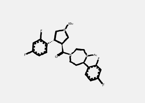 CC(=O)N1CCN(C(=O)[C@@H]2CN(C(C)(C)C)C[C@H]2c2ccc(F)cc2F)CCC1c1ccc(F)cc1F